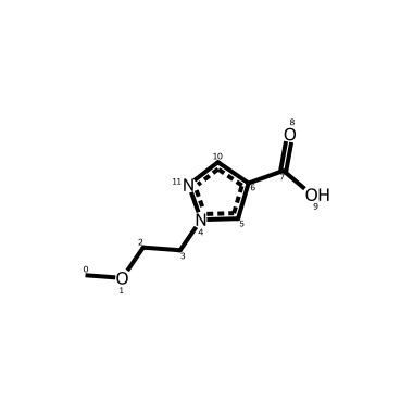 COCCn1cc(C(=O)O)cn1